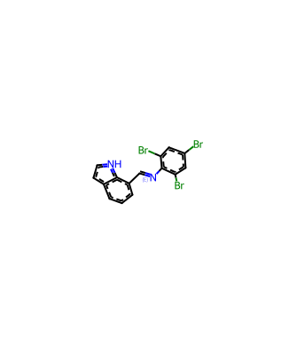 Brc1cc(Br)c(/N=C/c2cccc3cc[nH]c23)c(Br)c1